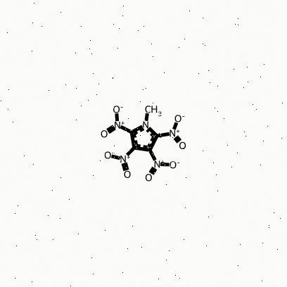 Cn1c([N+](=O)[O-])c([N+](=O)[O-])c([N+](=O)[O-])c1[N+](=O)[O-]